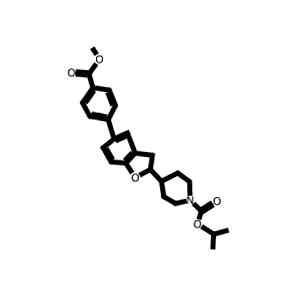 COC(=O)c1ccc(-c2ccc3c(c2)CC(C2CCN(C(=O)OC(C)C)CC2)O3)cc1